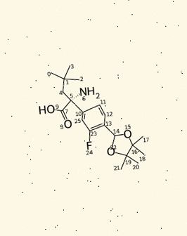 CC(C)(C)C[C@](N)(C(=O)O)c1ccc(C2OC(C)(C)C(C)(C)O2)c(F)c1